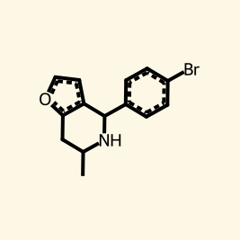 CC1Cc2occc2C(c2ccc(Br)cc2)N1